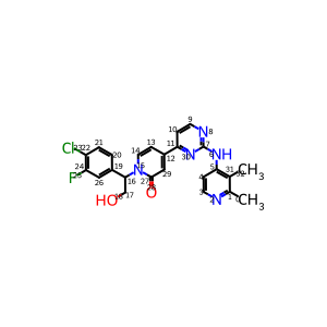 Cc1nccc(Nc2nccc(-c3ccn(C(CO)c4ccc(Cl)c(F)c4)c(=O)c3)n2)c1C